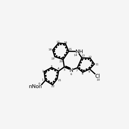 CCCCCCCCCc1ccc(C2=Nc3cc(Cl)ccc3Nc3ccccc32)cc1